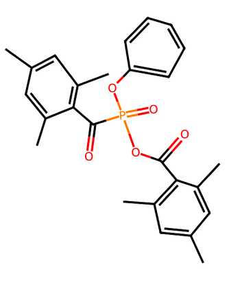 Cc1cc(C)c(C(=O)OP(=O)(Oc2ccccc2)C(=O)c2c(C)cc(C)cc2C)c(C)c1